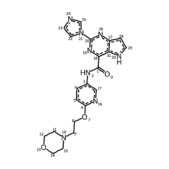 O=C(Nc1ccc(OCCN2CCOCC2)nc1)c1nc(-n2ccnc2)nc2cc[nH]c12